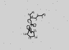 CCCCC(CC)OC(=O)ON1CCCC1